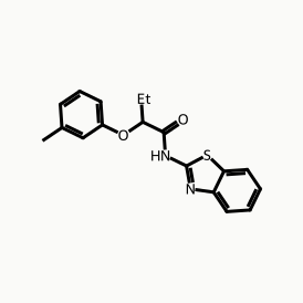 CCC(Oc1cccc(C)c1)C(=O)Nc1nc2ccccc2s1